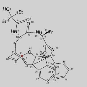 CCC(O)(CC)C(=O)N[C@H]1Cc2ccc3c(c2)C2(c4ccccc4NC2O3)c2oc(nc2-c2ccccc2)[C@H](C(C)C)NC1=O